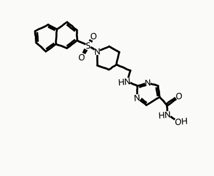 O=C(NO)c1cnc(NCC2CCN(S(=O)(=O)c3ccc4ccccc4c3)CC2)nc1